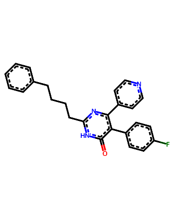 O=c1[nH]c(CCCCc2ccccc2)nc(-c2ccncc2)c1-c1ccc(F)cc1